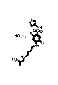 CC(N)CNCCCCNc1cc(F)c(S(=O)(=O)Nc2cnns2)cc1Cl.Cl.Cl